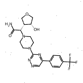 NC(=O)C([C@@H]1COC[C@@H]1O)N1CCN(c2nncc(-c3ccc(C(F)(F)F)cc3)n2)CC1